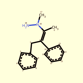 C/C(=C(/Cc1ccccc1)c1ccccc1)N(C)N